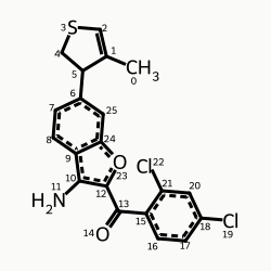 CC1=CSCC1c1ccc2c(N)c(C(=O)c3ccc(Cl)cc3Cl)oc2c1